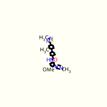 COc1ccc(NC(=O)c2ccc(-c3ccc(-c4nc(C)ns4)cc3C)cc2)cc1N1CCN(C)CC1